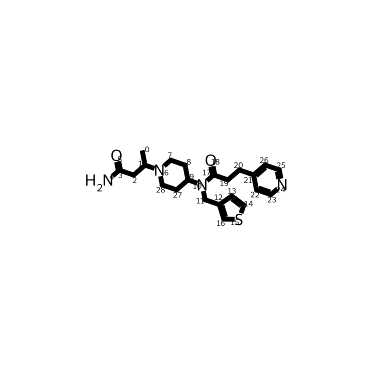 CC(CC(N)=O)N1CCC(N(Cc2ccsc2)C(=O)CCc2ccncc2)CC1